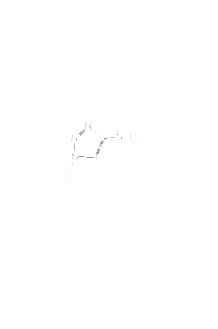 CCn1cc(NC(C)=O)nn1